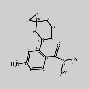 CCCN(CCC)C(=O)c1ccc(N)cc1N1CCCC2(CC2)C1